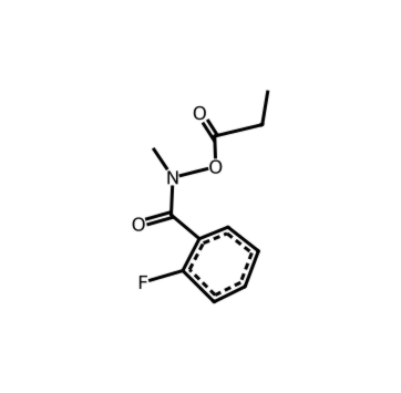 CCC(=O)ON(C)C(=O)c1ccccc1F